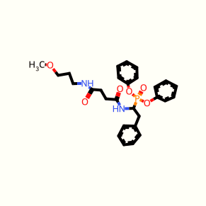 COCCCNC(=O)CCC(=O)NC(Cc1ccccc1)P(=O)(Oc1ccccc1)Oc1ccccc1